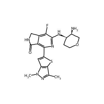 Cc1nn(C)c2cc(-c3nc(N[C@@H]4CCOC[C@@H]4N)c(F)c4c3C(=O)NC4)sc12